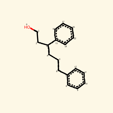 OCCC(CCCc1ccccc1)c1ccccc1